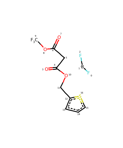 F[B]F.O=C(CC(=O)OC(F)(F)F)OCc1cccs1